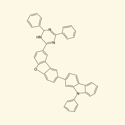 c1ccc(C2=NC(c3ccccc3)NC(c3ccc4oc5ccc(-c6ccc7c8ccccc8n(-c8ccccc8)c7c6)cc5c4c3)=N2)cc1